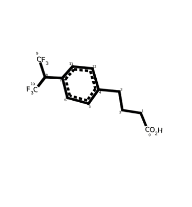 O=C(O)CCCc1ccc(C(C(F)(F)F)C(F)(F)F)cc1